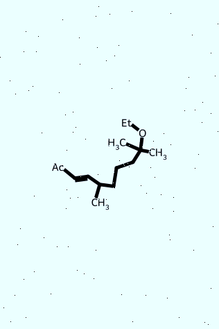 CCOC(C)(C)CCCC(C)C=CC(C)=O